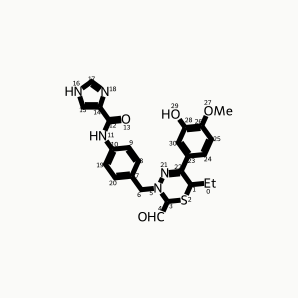 CCC1SC(C=O)N(Cc2ccc(NC(=O)c3c[nH]cn3)cc2)N=C1c1ccc(OC)c(O)c1